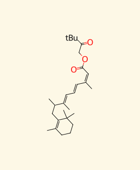 CC1=C(CC(C)/C(C)=C/C=C/C(C)=C\C(=O)OCC(=O)C(C)(C)C)C(C)(C)CCC1